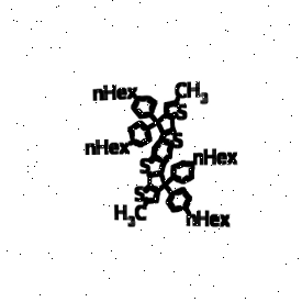 CCCCCCc1ccc(C2(c3ccc(CCCCCC)cc3)c3cc(C)sc3-c3sc4cc5c6c(sc5cc4c32)-c2sc(C)cc2C6(c2ccc(CCCCCC)cc2)c2ccc(CCCCCC)cc2)cc1